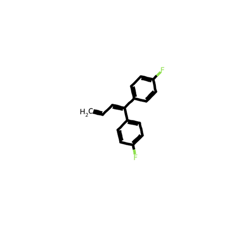 C=CC=C(c1ccc(F)cc1)c1ccc(F)cc1